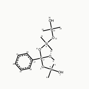 CO[Si](O[Si](C)(C)O)(O[Si](C)(C)O[Si](C)(C)O)c1ccccc1